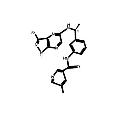 Cc1cncc(C(=O)Nc2cccc([C@H](C)Nc3cnc4[nH]nc(Br)c4n3)c2)c1